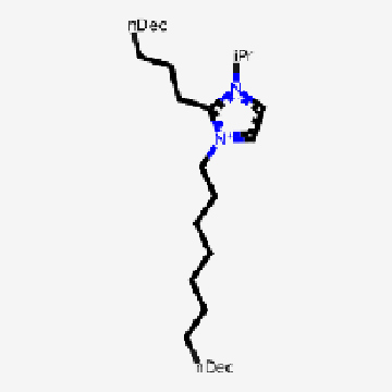 CCCCCCCCCCCCCCCCC[n+]1ccn(C(C)C)c1CCCCCCCCCCCCC